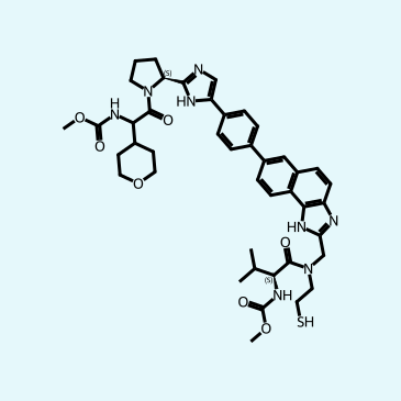 COC(=O)NC(C(=O)N1CCC[C@H]1c1ncc(-c2ccc(-c3ccc4c(ccc5nc(CN(CCS)C(=O)[C@@H](NC(=O)OC)C(C)C)[nH]c54)c3)cc2)[nH]1)C1CCOCC1